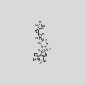 Cc1c([C@H](C)[C@H]2CC[C@H](N3CC(O[C@H]4CCOC4)C3)CC2)sc2c1C(=O)NCC2